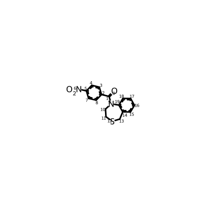 O=C(c1ccc([N+](=O)[O-])cc1)N1CCSCc2ccccc21